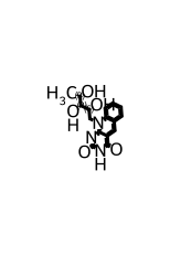 C[C@@H](O)[C@@H](O)[C@@H](O)Cn1c2nc(=O)[nH]c(=O)c-2cc2ccccc21